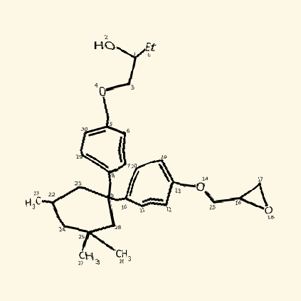 CCC(O)COc1ccc(C2(c3ccc(OCC4CO4)cc3)CC(C)CC(C)(C)C2)cc1